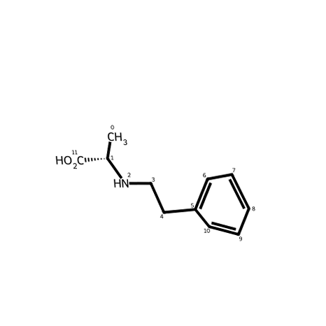 C[C@H](NCCc1ccccc1)C(=O)O